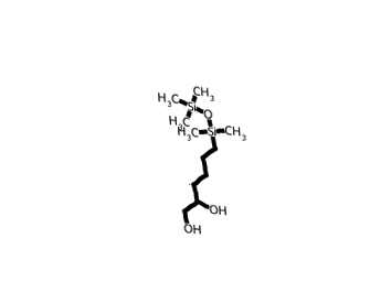 C[Si](C)(C)O[Si](C)(C)CCC[CH]C(O)CO